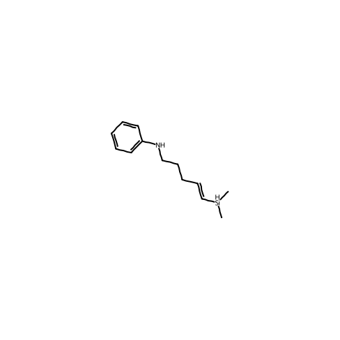 C[SiH](C)C=CCCCNc1ccccc1